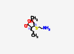 C=C/C=C(C(=O)O)\C(=C/C=C)SCCN